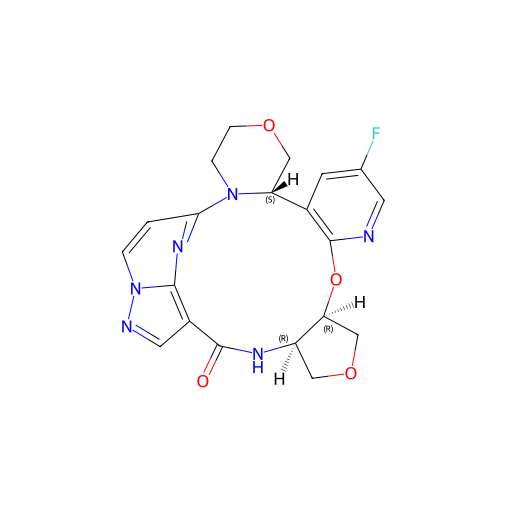 O=C1N[C@@H]2COC[C@@H]2Oc2ncc(F)cc2[C@H]2COCCN2c2ccn3ncc1c3n2